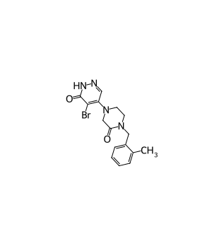 Cc1ccccc1CN1CCN(c2cn[nH]c(=O)c2Br)CC1=O